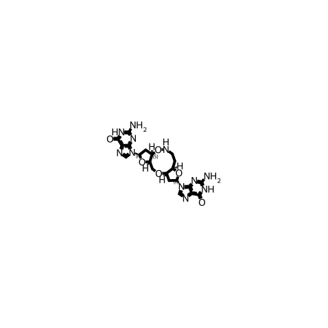 Nc1nc2c(ncn2[C@H]2C[C@@H]3OC[C@H]4O[C@@H](n5cnc6c(=O)[nH]c(N)nc65)C[C@@H]4ONCC[C@H]3O2)c(=O)[nH]1